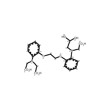 O=C(O)CN(CC(=O)O)c1ccccc1OCCOc1ccccc1N(CC(=O)O)CC(O)O